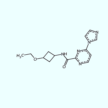 CCOC1CC(NC(=O)c2nccc(-n3ccnc3)n2)C1